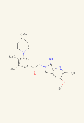 CCOc1cc2c(nc1C(=O)O)C(=N)N(CC(=O)c1cc(N3CCC(OC)CC3)c(OC)c(C(C)(C)C)c1)C2